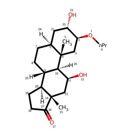 CCCO[C@H]1C[C@@]2(C)[C@@H](CC[C@@H]3[C@@H]2[C@@H](O)C[C@]2(C)C(=O)CC[C@@H]32)C[C@@H]1O